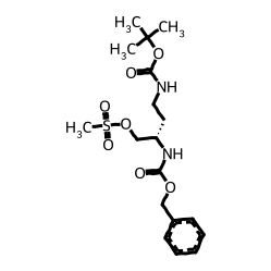 CC(C)(C)OC(=O)NCC[C@@H](COS(C)(=O)=O)NC(=O)OCc1ccccc1